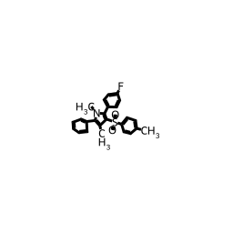 Cc1ccc(S(=O)(=O)c2c(C)c(-c3ccccc3)n(C)c2-c2ccc(F)cc2)cc1